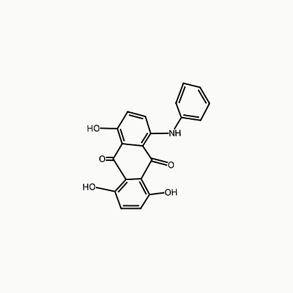 O=C1c2c(O)ccc(O)c2C(=O)c2c(Nc3ccccc3)ccc(O)c21